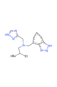 CCCCC(CC)CN(Cc1nc[nH]n1)Cc1cccc2[nH]nnc12